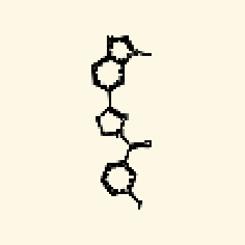 Cn1cnc2ccc(C3=NN(C(=O)c4cccc(F)c4)CC3)cc21